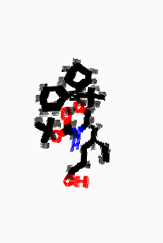 CC[C@H](CCCO)C[C@@H](CO[Si](c1ccccc1)(c1ccccc1)C(C)(C)C)NC(=O)OC(C)(C)C